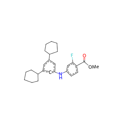 COC(=O)c1ccc(Nc2cc(C3CCCCC3)cc(C3CCCCC3)c2)cc1F